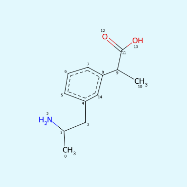 CC(N)Cc1cccc(C(C)C(=O)O)c1